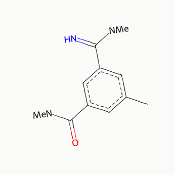 CNC(=N)c1cc(C)cc(C(=O)NC)c1